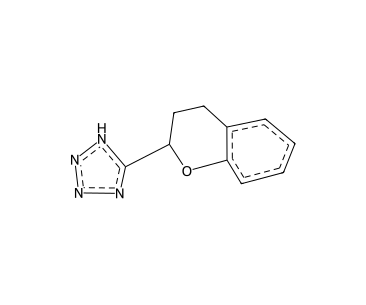 c1ccc2c(c1)CCC(c1nnn[nH]1)O2